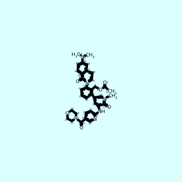 CC(=O)OCc1c(-c2cc(Nc3ccc(C(=O)N4CCOCC4)cn3)c(=O)n(C)c2)cccc1-n1ccc2cc(N(C)C)ccc2c1=O